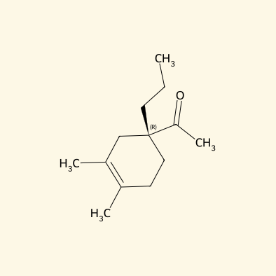 CCC[C@@]1(C(C)=O)CCC(C)=C(C)C1